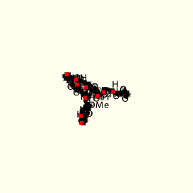 COc1cc2c(cc1OCc1cccc(COc3cc4c(cc3OC)C(=O)N3Cc5ccccc5C[C@H]3C(O)N4C(=O)OCc3ccc(NC(=O)[C@H](C)NC(=O)[C@@H](NC(=O)CCOCCNC(=O)CCN4C(=O)C=CC4=O)C(C)C)cc3)n1)N=C[C@@H]1Cc3ccccc3CN1C2=O